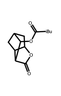 CCC(C)C(=O)OC1C2CC3OC(=O)C1C3C2